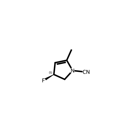 CC1=C[C@H](F)CN1C#N